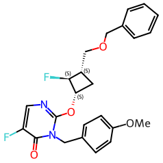 COc1ccc(Cn2c(O[C@H]3C[C@@H](COCc4ccccc4)[C@@H]3F)ncc(F)c2=O)cc1